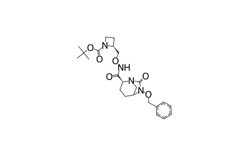 CC(C)(C)OC(=O)N1CC[C@H]1CONC(=O)[C@@H]1CCC2CN1C(=O)N2OCc1ccccc1